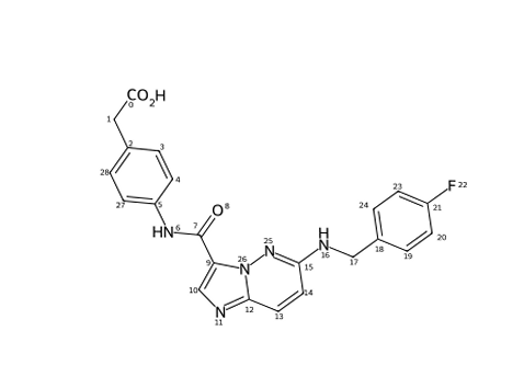 O=C(O)Cc1ccc(NC(=O)c2cnc3ccc(NCc4ccc(F)cc4)nn23)cc1